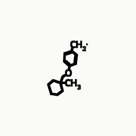 [CH2]c1ccc(OCC2(C)CCCCC2)cc1